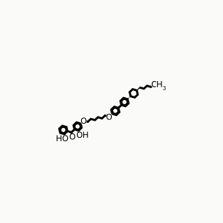 CCCCC[C@H]1CC[C@H](c2ccc(-c3ccc(OCCCCCCOc4ccc(C(=O)c5ccccc5O)c(O)c4)cc3)cc2)CC1